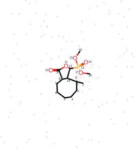 BC1(C)CCCCCC2C(=O)OC(P(=O)(OC)OC)C21